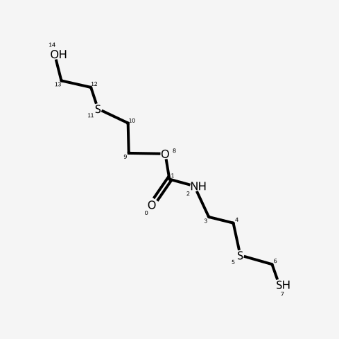 O=C(NCCSCS)OCCSCCO